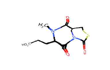 CN1C(=O)C2CSC(=O)N2C(=O)C1CCC(=O)O